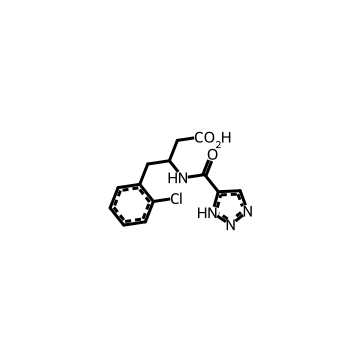 O=C(O)CC(Cc1ccccc1Cl)NC(=O)c1cnn[nH]1